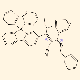 CCC(C)/C(=C(C#N)\C(=N/Cc1ccccc1)c1ccccc1)c1ccc2c(c1)C(c1ccccc1)(c1ccccc1)c1ccccc1-2